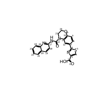 O=C(O)c1csc(-c2ccc3c(c2)N(C(=O)Nc2ccc4ccccc4n2)CCO3)n1